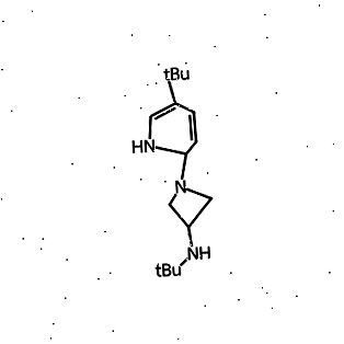 CC(C)(C)NC1CN(C2C=CC(C(C)(C)C)=CN2)C1